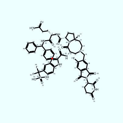 NC(=O)CC[C@H](NC(=O)[C@@H]1CC[C@@H]2CCN(Cc3cc4c(cc3F)C(=O)N(C3CCC(=O)NC3=O)C4=O)C[C@H](NC(=O)c3cc4cc(C(F)(F)P(=O)(O)O)ccc4[nH]3)C(=O)N21)C(=O)NC(c1ccccc1)c1ccccc1